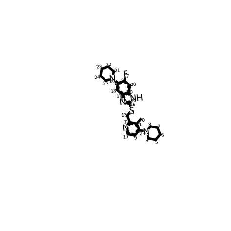 Cc1c(N2CCCCC2)ccnc1CSc1nc2cc(N3CCCCC3)c(F)cc2[nH]1